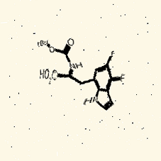 CC(C)(C)OC(=O)NC(Cc1cc(F)c(F)c2cc[nH]c12)C(=O)O